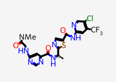 CNC(=O)CNc1cc(C(=O)N[C@H](C)c2ncc(C(=O)Nc3cc(C(F)(F)F)c(Cl)cn3)s2)ncn1